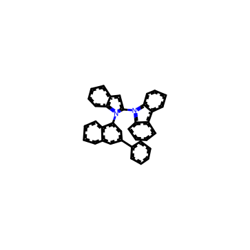 c1ccc(-c2cc(-n3c(-n4c5ccccc5c5ccccc54)cc4ccccc43)c3ccccc3c2)cc1